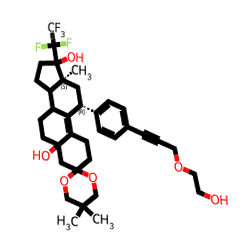 CC1(C)COC2(CCC3=C4C(CCC3(O)C2)C2CCC(O)(C(F)(F)C(F)(F)F)[C@@]2(C)C[C@@H]4c2ccc(C#CCOCCO)cc2)OC1